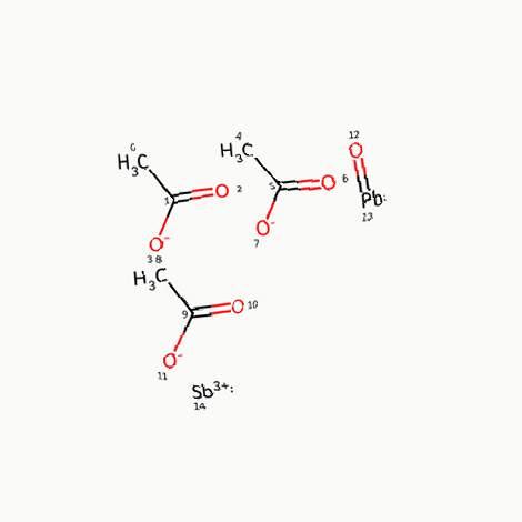 CC(=O)[O-].CC(=O)[O-].CC(=O)[O-].[O]=[Pb].[Sb+3]